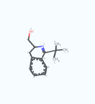 CC(C)(C)C1=NC(CO)Cc2ccccc21